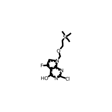 C[Si](C)(C)CCOCn1cc(F)c2c(O)nc(Cl)nc21